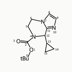 CC(C)(C)OC(=O)N1CCn2ccnc2C1C1CC1